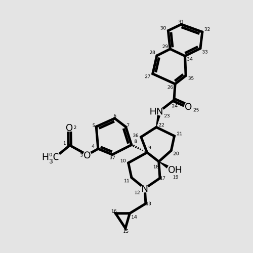 CC(=O)Oc1cccc([C@@]23CCN(CC4CC4)C[C@@]2(O)CC[C@H](NC(=O)c2ccc4ccccc4c2)C3)c1